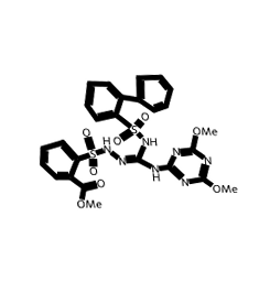 COC(=O)c1ccccc1S(=O)(=O)NN=C(Nc1nc(OC)nc(OC)n1)NS(=O)(=O)c1ccccc1-c1ccccc1